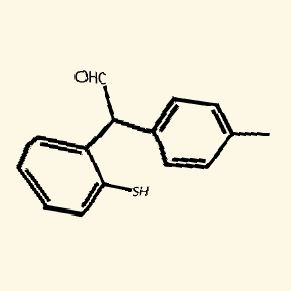 Cc1ccc(C(C=O)c2ccccc2S)cc1